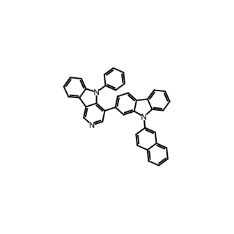 c1ccc(-n2c3ccccc3c3cncc(-c4ccc5c6ccccc6n(-c6ccc7ccccc7c6)c5c4)c32)cc1